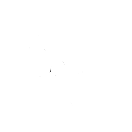 COc1ccc2ncc(F)c(C(O)CC[C@@H]3CCN(C(=O)OC(C)(C)C)C[C@@H]3C(=O)O)c2c1